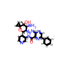 C[C@@]1(O)[C@@H](N)C[C@@H](c2ccncc2NC(=O)c2nc(-c3ccccc3)cnc2N)OC12CC2